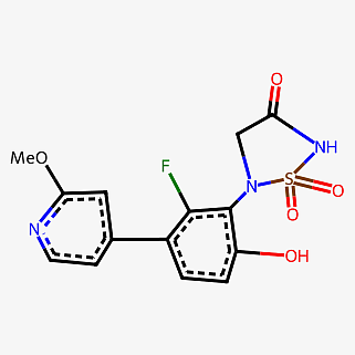 COc1cc(-c2ccc(O)c(N3CC(=O)NS3(=O)=O)c2F)ccn1